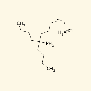 CCCCC(P)(CCCC)CCCC.Cl.[AlH3]